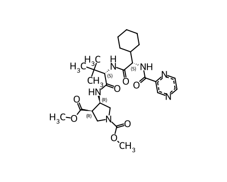 COC(=O)[C@@H]1CN(C(=O)OC)C[C@@H]1NC(=O)[C@@H](NC(=O)[C@@H](NC(=O)c1cnccn1)C1CCCCC1)C(C)(C)C